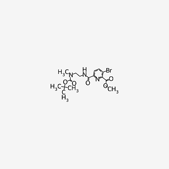 COC(=O)c1nc(C(=O)NCCN(C)C(=O)OC(C)(C)C)ccc1Br